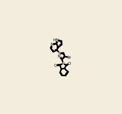 O=C1C2C=CC=CC2C(=O)N1c1nn(-c2ccnc3[nH]ccc23)cc1Br